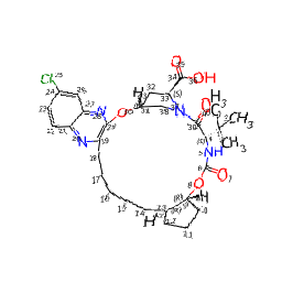 CC(C)(C)[C@@H]1NC(=O)O[C@@H]2CCC[C@H]2CCCCCc2nc3ccc(Cl)cc3nc2O[C@@H]2C[C@@H](C(=O)O)N(C2)C1=O